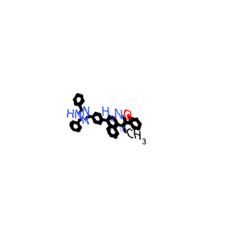 C/C=C(\c1c(N)oc2ccccc12)c1ccc(-c2ccc(C3=NC(c4ccccc4)NC(c4ccccc4)=N3)cc2)c2ccccc12